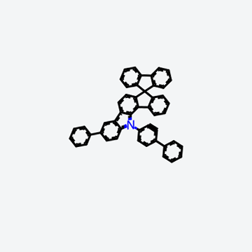 c1c(-c2ccccc2)ccc(-n2c3ccc(-c4ccccc4)cc3c3ccc4c(c32)-c2ccccc2C42c3ccccc3-c3ccccc32)c#1